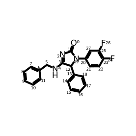 O=C1N=C(NCc2ccccc2)C(c2ccccc2)N1c1ccc(F)c(F)c1